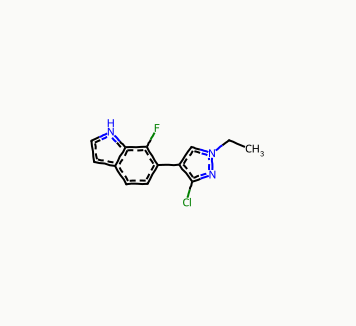 CCn1cc(-c2ccc3cc[nH]c3c2F)c(Cl)n1